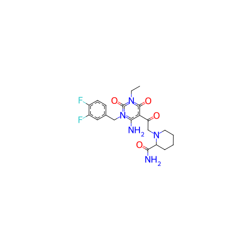 CCn1c(=O)c(C(=O)CN2CCCCC2C(N)=O)c(N)n(Cc2ccc(F)c(F)c2)c1=O